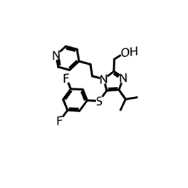 CC(C)c1nc(CO)n(CCc2ccncc2)c1Sc1cc(F)cc(F)c1